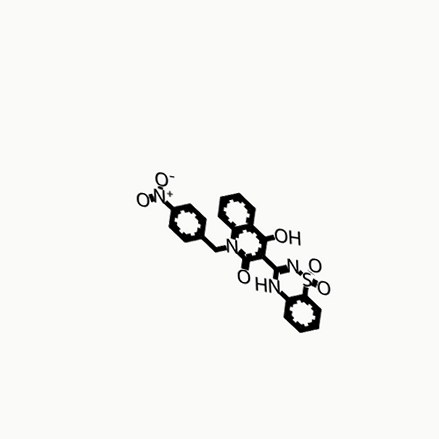 O=c1c(C2=NS(=O)(=O)c3ccccc3N2)c(O)c2ccccc2n1Cc1ccc([N+](=O)[O-])cc1